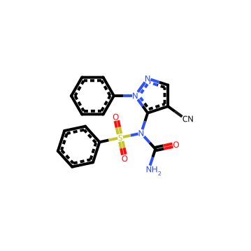 N#Cc1cnn(-c2ccccc2)c1N(C(N)=O)S(=O)(=O)c1ccccc1